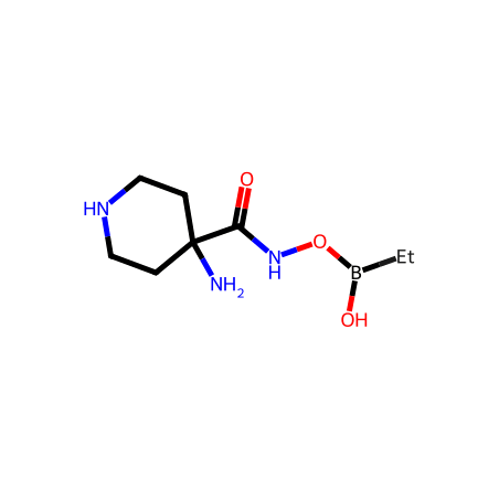 CCB(O)ONC(=O)C1(N)CCNCC1